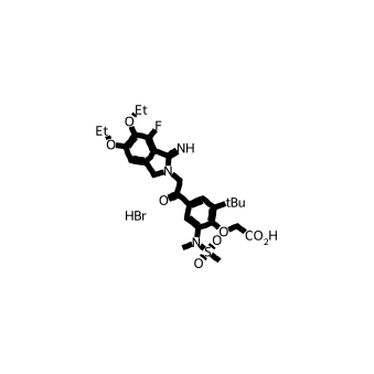 Br.CCOc1cc2c(c(F)c1OCC)C(=N)N(CC(=O)c1cc(N(C)S(C)(=O)=O)c(OCC(=O)O)c(C(C)(C)C)c1)C2